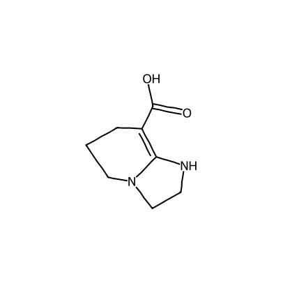 O=C(O)C1=C2NCCN2CCC1